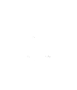 CNc1cc[nH]c1.c1ccncc1